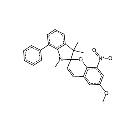 COc1cc2c(c([N+](=O)[O-])c1)OC1(C=C2)N(C)c2c(-c3ccccc3)cccc2C1(C)C